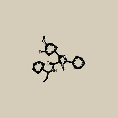 CCC(NC(=O)c1c(-c2ccc(OC)c(F)c2)nc(-c2ccccc2)n1C)c1ccccc1